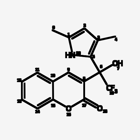 Cc1cc(C)c(C(O)(c2cc3ccccc3oc2=O)C(F)(F)F)[nH]1